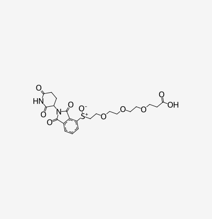 O=C(O)CCOCCOCCOCC[S+]([O-])c1cccc2c1C(=O)N(C1CCC(=O)NC1=O)C2=O